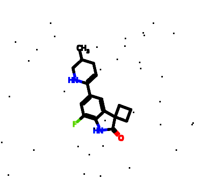 CC1CC=C(c2cc(F)c3c(c2)C2(CCC2)C(=O)N3)NC1